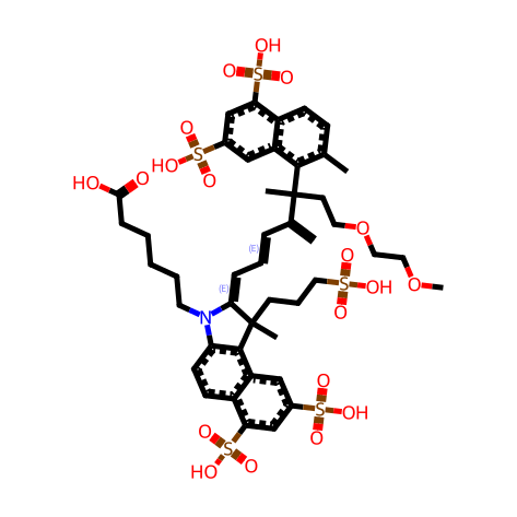 C=C(/C=C/C=C1/N(CCCCCC(=O)O)c2ccc3c(S(=O)(=O)O)cc(S(=O)(=O)O)cc3c2C1(C)CCCS(=O)(=O)O)C(C)(CCOCCOC)c1c(C)ccc2c(S(=O)(=O)O)cc(S(=O)(=O)O)cc12